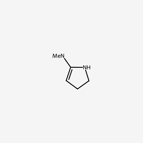 CNC1=CCCN1